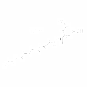 CCCCCCCCCCOCCCNC(CCO)CCO.Cl